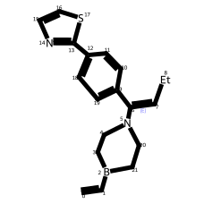 C=CB1CCN(/C(=C/CC)c2ccc(-c3nccs3)cc2)CC1